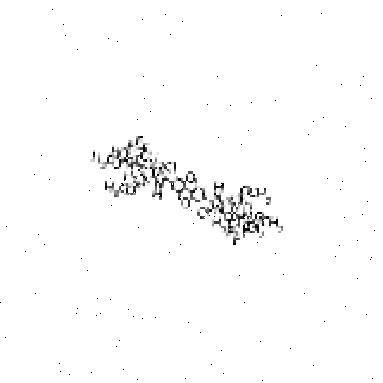 COC(=O)N[C@H](C(=O)N1C[C@@H](OC)C[C@H]1c1nc(Cl)c(-c2cc3c4c(c2)OCc2cc(-c5[nH]c([C@@H]6C[C@H](OC)CN6C(=O)[C@@H](NC(=O)OC)C(C)(C)C(F)(F)F)nc5Cl)cc(c2-4)OC3)[nH]1)C(C)(C)C(F)(F)F